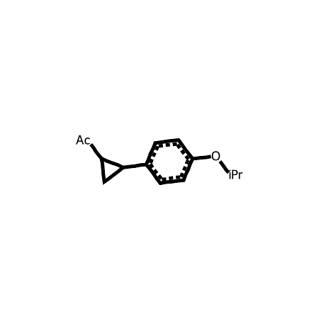 CC(=O)C1CC1c1ccc(OC(C)C)cc1